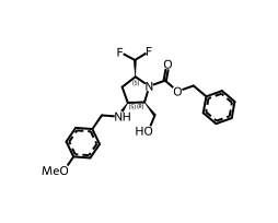 COc1ccc(CN[C@H]2C[C@@H](C(F)F)N(C(=O)OCc3ccccc3)[C@H]2CO)cc1